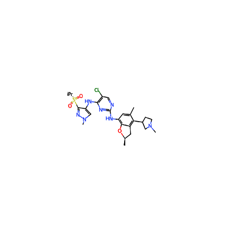 Cc1cc(Nc2ncc(Cl)c(Nc3cn(C)nc3S(=O)(=O)C(C)C)n2)c2c(c1C1CCN(C)C1)C[C@@H](C)O2